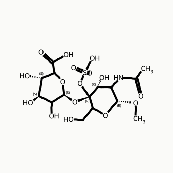 CO[C@@H]1OC(CO)[C@](O[C@@H]2OC(C(=O)O)[C@@H](O)[C@H](O)C2O)(OS(=O)(=O)O)[C@H](O)C1NC(C)=O